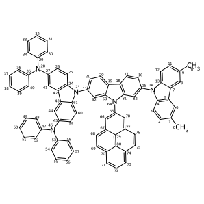 Cc1ccc2c(c1)c1cc(C)ccc1n2-c1ccc2c3ccc(-n4c5ccc(N(c6ccccc6)c6ccccc6)cc5c5cc(N(c6ccccc6)c6ccccc6)ccc54)cc3n(-c3cc4ccc5cccc6ccc(c3)c4c56)c2c1